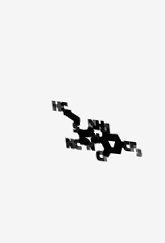 C#CCSc1c(C#N)nn(-c2c(Cl)cc(C(F)(F)F)cc2Cl)c1N